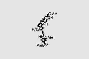 COC[C@H](O)CN1CCC(Nc2cccc3c2cc(C#CCNc2ccc(C(=O)OC)cc2OC)n3CC(F)(F)F)C(F)C1